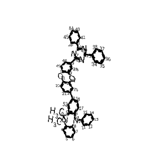 C[Si]1(C)c2ccccc2N(c2ccccc2)c2ccc(-c3ccc4c(c3)Oc3cc(-c5nc(-c6ccccc6)nc(-c6ccccc6)n5)ccc3O4)cc21